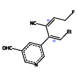 CC/C=C(\C(C#N)=C/CF)c1cncc(C=O)c1